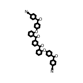 N#Cc1ccc(C(=O)c2ccc(Oc3ccccc3C(=O)c3cccc(C(=O)c4ccccc4Oc4ccc(C(=O)c5ccc(C#N)cc5)cc4)c3)cc2)cc1